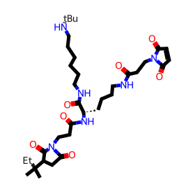 CCC(C)(C)C1CC(=O)N(CCC(=O)N[C@@H](CCCCNC(=O)CCN2C(=O)C=CC2=O)C(=O)NCCCCCCNC(C)(C)C)C1=O